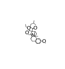 CCOC(=O)C1(C(=O)CCC(C)C)CC2C3Cc4ccc(OC)cc4C2(C)CC1N3C